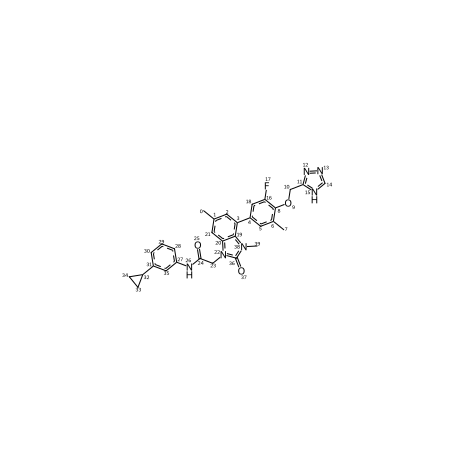 Cc1cc(-c2cc(C)c(OCc3nnc[nH]3)c(F)c2)c2c(c1)n(CC(=O)Nc1cccc(C3CC3)c1)c(=O)n2C